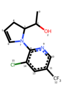 CC(O)C1CC=CN1c1ncc(C(F)(F)F)cc1Cl